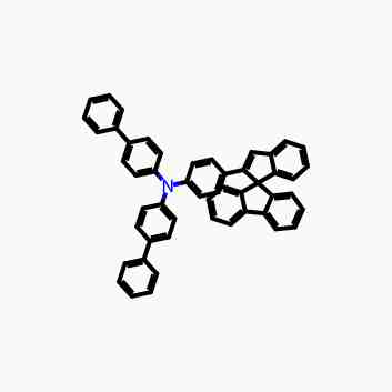 C1=C(c2ccc(N(c3ccc(-c4ccccc4)cc3)c3ccc(-c4ccccc4)cc3)cc2)C2(c3ccccc31)c1ccccc1-c1ccccc12